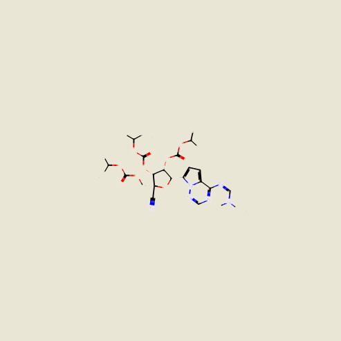 CC(C)OC(=O)OC[C@@]1(C#N)O[C@@H](c2ccc3c(/N=C\N(C)C)ncnn23)[C@H](OC(=O)OC(C)C)[C@@H]1OC(=O)OC(C)C